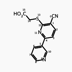 N#Cc1ccc(-c2cccnc2)nc1SCC(=O)O